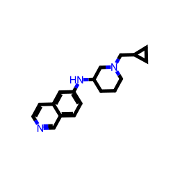 c1cc2cc(NC3CCCN(CC4CC4)C3)ccc2cn1